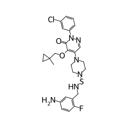 CC1(COc2c(N3CCN(SNCc4cc(N)ccc4F)CC3)cnn(-c3cccc(Cl)c3)c2=O)CC1